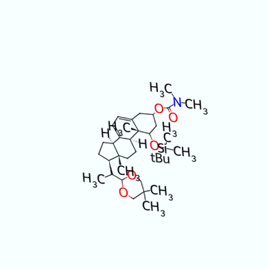 CC(C1OCC(C)(C)CO1)[C@H]1CC[C@H]2C3=CC=C4CC(OC(=O)N(C)C)CC(O[Si](C)(C)C(C)(C)C)[C@]4(C)[C@H]3CC[C@]12C